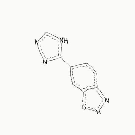 c1nnc(-c2ccc3nnoc3c2)[nH]1